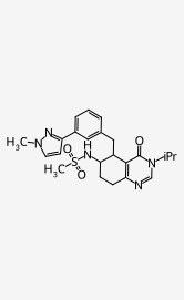 CC(C)n1cnc2c(c1=O)C(Cc1cccc(-c3ccn(C)n3)c1)C(NS(C)(=O)=O)CC2